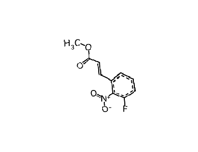 COC(=O)/C=C/c1cccc(F)c1[N+](=O)[O-]